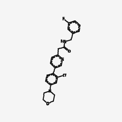 O=C(Cc1ccc(-c2ccc(N3CCOCC3)cc2Cl)cn1)NCc1cccc(F)c1